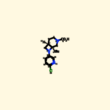 CC(C)(C)[C@@]12CN(C(=O)O)CC[C@@H]1CN2c1ccc(Cl)nc1